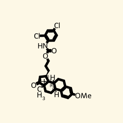 COc1ccc2c(c1)CC[C@H]1[C@@H]3[C@H](CCCOC(=O)Nc4ccc(Cl)cc4Cl)CC(=O)[C@@]3(C)CC[C@H]21